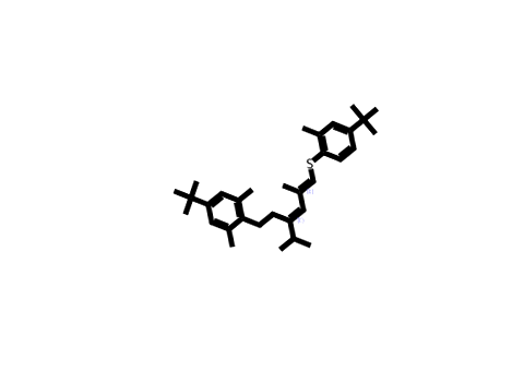 CC(=C\Sc1ccc(C(C)(C)C)cc1C)/C=C(\CCc1c(C)cc(C(C)(C)C)cc1C)C(C)C